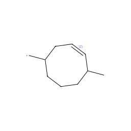 [CH2]C1C/C=C\C(C)CCC1